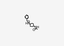 CC(=O)NC1CCC(NOCc2ccccc2)CC1